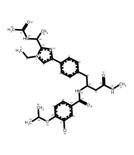 CCn1cc(-c2ccc(CC(CC(=O)NC)NC(=O)c3ccc(OC(C)C)c(Cl)c3)cc2)nc1C(C)NC(C)=O